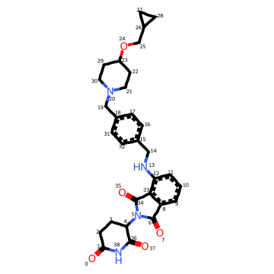 O=C1CCC(N2C(=O)c3cccc(NCc4ccc(CN5CCC(OCC6CC6)CC5)cc4)c3C2=O)C(=O)N1